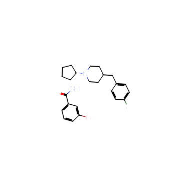 O=C(N[C@@H]1CCC[C@H]1N1CCC(Cc2ccc(Cl)cc2)CC1)c1cccc(Br)c1